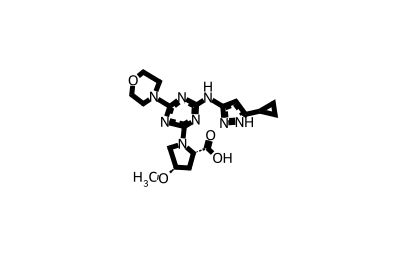 CO[C@H]1C[C@@H](C(=O)O)N(c2nc(Nc3cc(C4CC4)[nH]n3)nc(N3CCOCC3)n2)C1